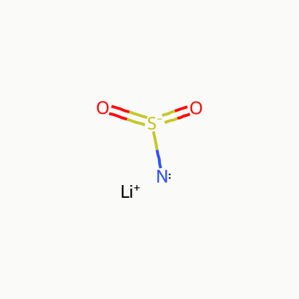 [Li+].[N][S-](=O)=O